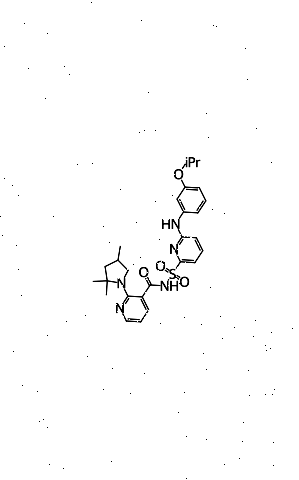 CC1CN(c2ncccc2C(=O)NS(=O)(=O)c2cccc(Nc3cccc(OC(C)C)c3)n2)C(C)(C)C1